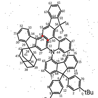 CC(C)(C)c1ccc(C2(c3ccc(C(C)(C)C)cc3)c3ccccc3-c3c(N(c4ccc5c(c4)C4(c6ccccc6-5)C5CC6CC(C5)CC4C6)c4ccccc4-c4cccc5c4C(C)(C)c4ccccc4-5)cccc32)cc1